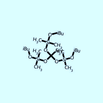 CCC(C)O[Si](C)(C)OC([SiH3])(O[Si](C)(C)OC(C)CC)O[Si](C)(C)OC(C)CC